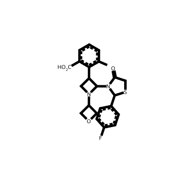 Cc1cccc(C(=O)O)c1C1CN(C2COC2)C1N1C(=O)CSC1c1ccc(F)cc1